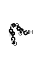 CC(=O)N1CCC(c2ccc3cc(CN4CC[C@H](Oc5ccc6c(c5)CN([C@H]5CCCNC5)C6=O)C4)ccc3n2)CC1